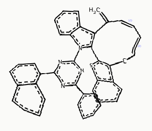 C=C1/C=C\C=C/Cc2c(sc3ccccc23)-c2c1c1ccccc1n2-c1nc(-c2ccccc2)nc(-c2cccc3ccccc23)n1